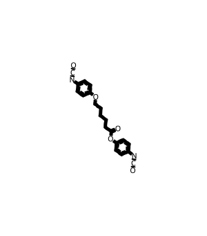 O=C=Nc1ccc(OCCCCCC(=O)Oc2ccc(N=C=O)cc2)cc1